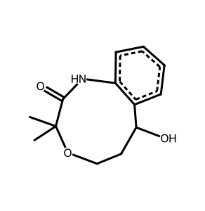 CC1(C)OCCC(O)c2ccccc2NC1=O